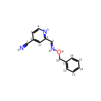 N#Cc1ccnc(C=NOCc2ccccc2)c1